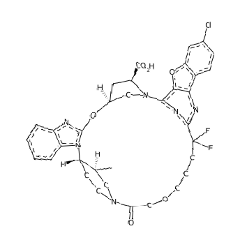 C[C@H]1CN2CC[C@@H]1n1c(nc3ccccc31)O[C@H]1C[C@@H](C(=O)O)N(C1)c1nc(nc3c1oc1cc(Cl)ccc13)C(F)(F)CCCOCC2=O